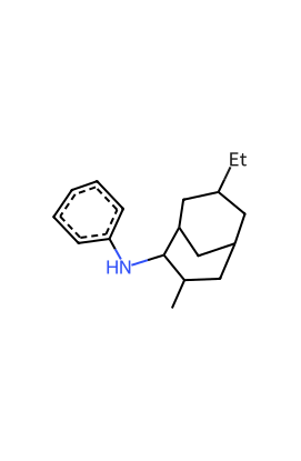 CCC1CC2CC(C)C(Nc3ccccc3)C(C1)C2